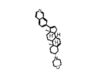 C[C@]12CC[C@@H](N3CCOCC3)CC1=CC[C@@H]1[C@@H]2CC[C@]2(C)C(c3ccc4ccncc4c3)=CC[C@@H]12